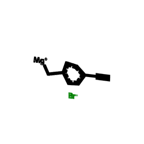 C#Cc1ccc([CH2][Mg+])cc1.[Br-]